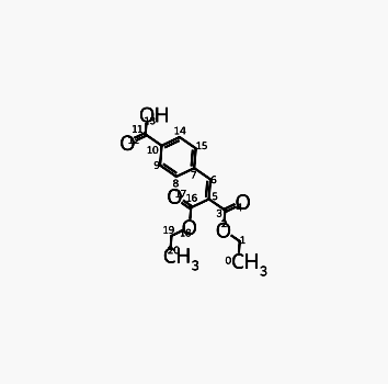 CCOC(=O)C(=Cc1ccc(C(=O)O)cc1)C(=O)OCC